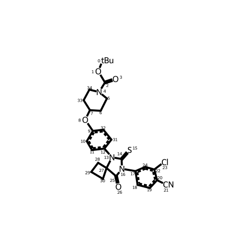 CC(C)(C)OC(=O)N1CCC(Oc2ccc(N3C(=S)N(c4ccc(C#N)c(Cl)c4)C(=O)C34CCC4)cc2)CC1